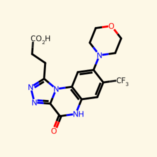 O=C(O)CCc1nnc2c(=O)[nH]c3cc(C(F)(F)F)c(N4CCOCC4)cc3n12